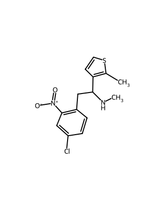 CNC(Cc1ccc(Cl)cc1[N+](=O)[O-])c1ccsc1C